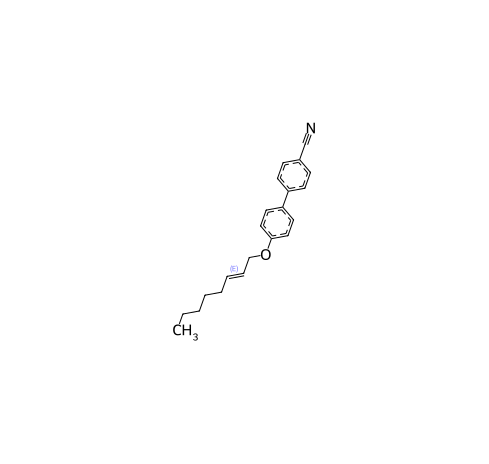 CCCCC/C=C/COc1ccc(-c2ccc(C#N)cc2)cc1